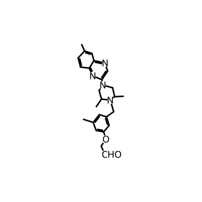 Cc1cc(CN2C(C)CN(c3cnc4cc(C)ccc4n3)CC2C)cc(OCC=O)c1